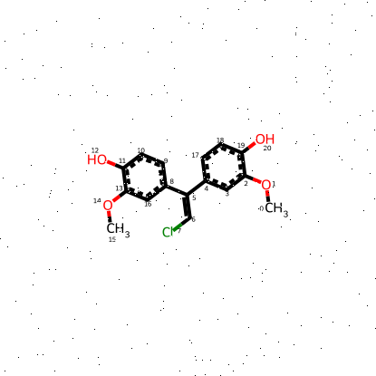 COc1cc(C(=CCl)c2ccc(O)c(OC)c2)ccc1O